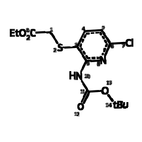 CCOC(=O)CSc1ccc(Cl)nc1NC(=O)OC(C)(C)C